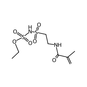 C=C(C)C(=O)NCCS(=O)(=O)NS(=O)(=O)OCC